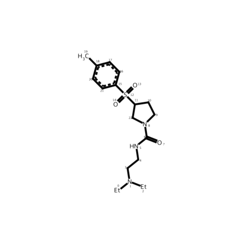 CCN(CC)CCNC(=O)N1CCC(S(=O)(=O)c2ccc(C)cc2)C1